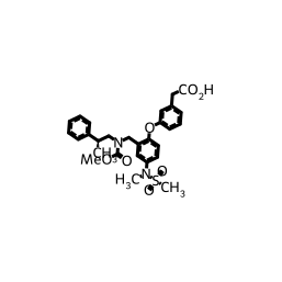 COC(=O)N(Cc1cc(N(C)S(C)(=O)=O)ccc1Oc1cccc(CC(=O)O)c1)C[C@@H](C)c1ccccc1